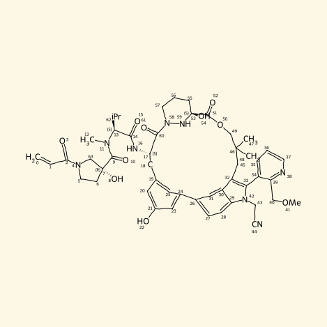 C=CC(=O)N1CC[C@](O)(C(=O)N(C)[C@H](C(=O)N[C@H]2Cc3cc(O)cc(c3)-c3ccc4c(c3)c(c(-c3cccnc3COC)n4CC#N)CC(C)(C)COC(=O)[C@@]3(O)CCCN(N3)C2=O)C(C)C)C1